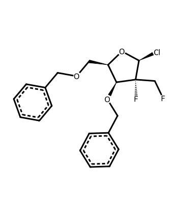 FC[C@]1(F)[C@H](Cl)O[C@H](COCc2ccccc2)[C@@H]1OCc1ccccc1